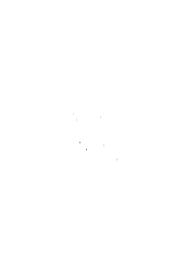 C=CCOC(C(C)O)N(c1ccccc1)C(OCC=C)C(C)O